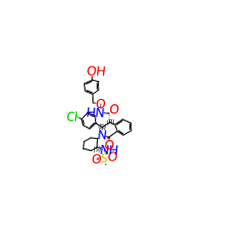 CS(=O)(=O)N[C@H]1CCCCC1N1C(=O)c2ccccc2[C@@H](C(=O)NOCc2ccc(O)cc2)[C@@H]1c1ccc(Cl)cc1